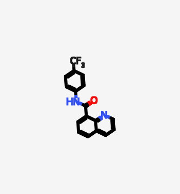 O=C(Nc1ccc(C(F)(F)F)cc1)c1cccc2cccnc12